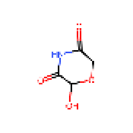 O=C1COC(O)C(=O)N1